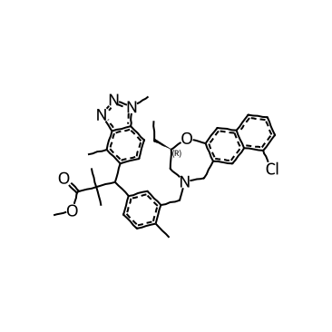 CC[C@@H]1CN(Cc2cc(C(c3ccc4c(nnn4C)c3C)C(C)(C)C(=O)OC)ccc2C)Cc2cc3c(Cl)cccc3cc2O1